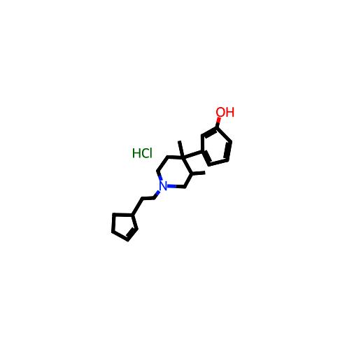 CC1CN(CCC2C=CCC2)CCC1(C)c1cccc(O)c1.Cl